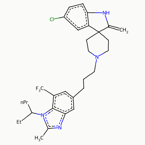 C=C1Nc2ccc(Cl)cc2C12CCN(CCCc1cc(C(F)(F)F)c3c(c1)nc(C)n3C(CC)CCC)CC2